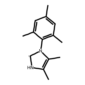 CC1=C(C)N(c2c(C)cc(C)cc2C)[C]N1